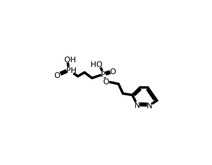 O=[PH](O)CCCP(=O)(O)OCCc1cccnn1